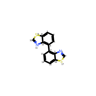 [c]1nc2c(-c3cccc4s[c]nc34)cccc2s1